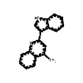 Cc1cc(-c2c[nH]c3ccccc23)nc2ccccc12